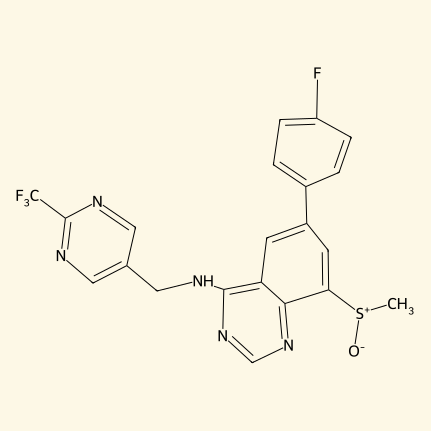 C[S+]([O-])c1cc(-c2ccc(F)cc2)cc2c(NCc3cnc(C(F)(F)F)nc3)ncnc12